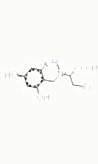 CC(C)CC(C(=O)O)N(C)Cc1c(O)cc(O)cc1O